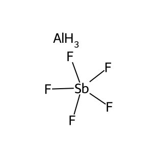 [AlH3].[F][Sb]([F])([F])([F])[F]